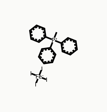 C[P+](c1ccccc1)(c1ccccc1)c1ccccc1.[I][Fe-]([I])([I])[I]